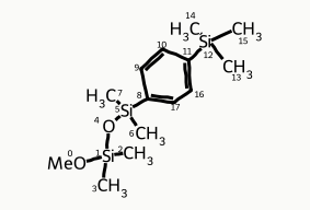 CO[Si](C)(C)O[Si](C)(C)c1ccc([Si](C)(C)C)cc1